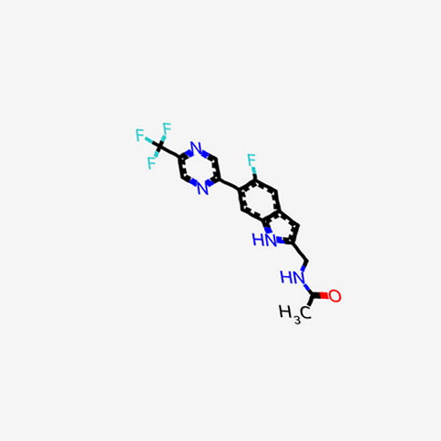 CC(=O)NCc1cc2cc(F)c(-c3cnc(C(F)(F)F)cn3)cc2[nH]1